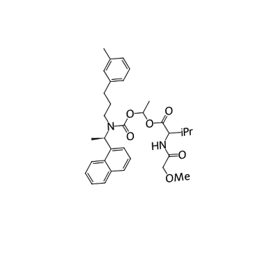 COCC(=O)NC(C(=O)OC(C)OC(=O)N(CCCc1cccc(C)c1)[C@H](C)c1cccc2ccccc12)C(C)C